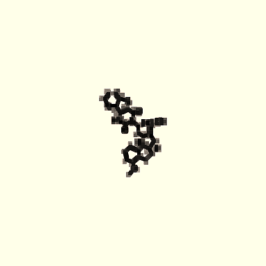 COc1cccc2c1CC[C@@H]1CNC(CCn3c(=O)[nH]c4c(sc5cccnc54)c3=O)[C@H]21.Cl.Cl